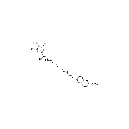 COc1ccc2cc(CCCOCCCCCCNCC(O)c3cc(Cl)c(N)c(Cl)c3)ccc2c1